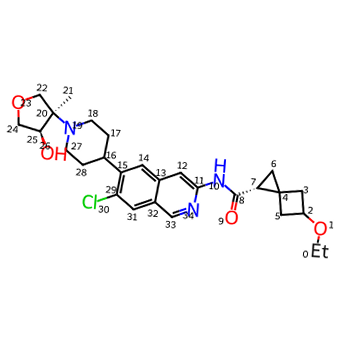 CCOC1CC2(C1)C[C@H]2C(=O)Nc1cc2cc(C3CCN([C@]4(C)COC[C@@H]4O)CC3)c(Cl)cc2cn1